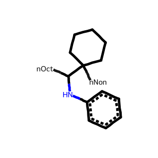 CCCCCCCCCC1(C(CCCCCCCC)Nc2ccccc2)CCCCC1